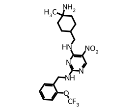 CC1(N)CCC(CNc2nc(NCc3ccccc3OC(F)(F)F)ncc2[N+](=O)[O-])CC1